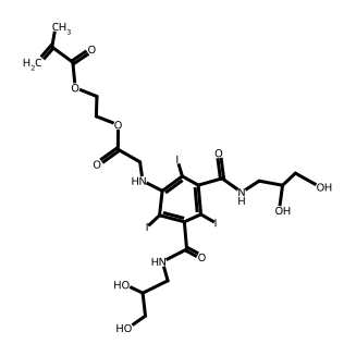 C=C(C)C(=O)OCCOC(=O)CNc1c(I)c(C(=O)NCC(O)CO)c(I)c(C(=O)NCC(O)CO)c1I